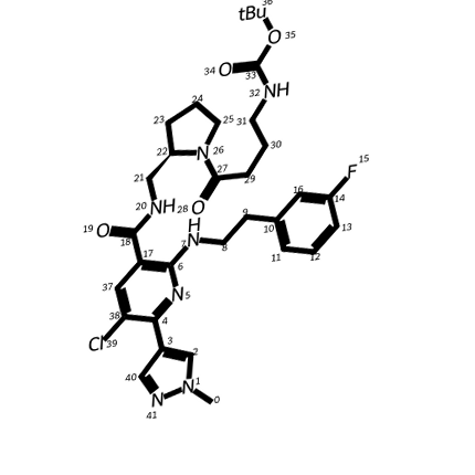 Cn1cc(-c2nc(NCCc3cccc(F)c3)c(C(=O)NC[C@H]3CCCN3C(=O)CCCNC(=O)OC(C)(C)C)cc2Cl)cn1